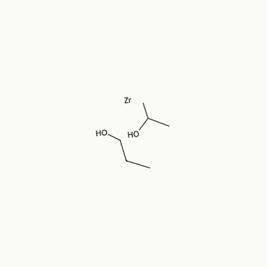 CC(C)O.CCCO.[Zr]